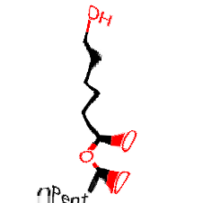 CCCCCC(=O)OC(=O)CCCCCO